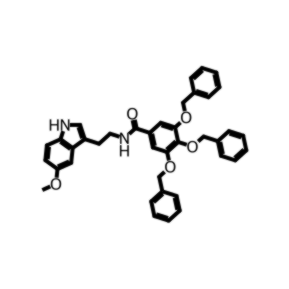 COc1ccc2[nH]cc(CCNC(=O)c3cc(OCc4ccccc4)c(OCc4ccccc4)c(OCc4ccccc4)c3)c2c1